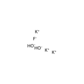 [F-].[K+].[K+].[K+].[OH-].[OH-]